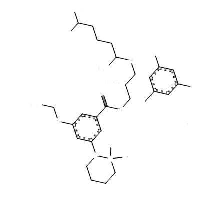 CCNc1cc(C(=O)N[C@@H](Cc2cc(F)cc(F)c2)[C@H](O)CNC(C)CCCC(C)C)cc(N2CCCCS2(O)O)c1.Cl